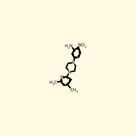 Cc1cc(C)nc(N2CCN(c3ccc([N+](=O)[O-])c(N)c3)CC2)c1